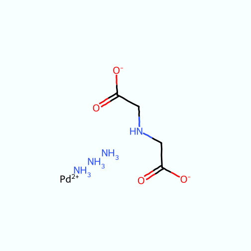 N.N.N.O=C([O-])CNCC(=O)[O-].[Pd+2]